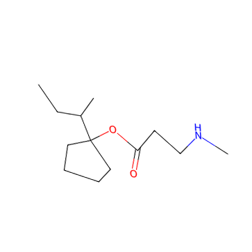 CCC(C)C1(OC(=O)CCNC)CCCC1